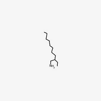 CCCCCCCCC(CC)CN